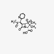 C[S+]([O-])/C(=C1\C(=O)N2C1S(=O)(=O)C(C)(C)[C@@H]2C(=O)O)c1ccccn1